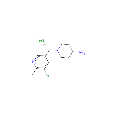 Cc1ncc(CN2CCC(N)CC2)cc1Cl.Cl.Cl